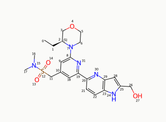 CC[C@H]1COCCN1c1cc(CS(=O)(=O)N(C)C)cc(-c2ccc3[nH]c(CO)cc3n2)n1